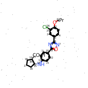 CC(C)Oc1ccc(-c2noc(-c3ccc(N[C@@H]4CCC[C@H]4C(=O)O)cc3)n2)cc1Cl